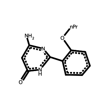 CCCOc1ccccc1-c1nc(N)cc(=O)[nH]1